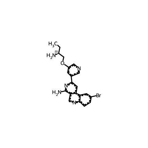 CC[C@H](N)COc1cncc(-c2cc3c(cnc4ccc(Br)cc43)c(N)n2)c1